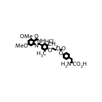 COc1cc(OC)c2c(=O)[nH]c(-c3cc(C)c(OCCOC(=O)Oc4ccc(CC(N)C(=O)O)cc4)c(C)c3)nc2c1.Cl